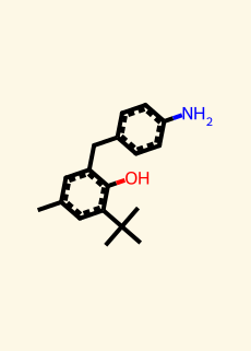 Cc1cc(Cc2ccc(N)cc2)c(O)c(C(C)(C)C)c1